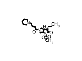 CCC[C@H]1C(=O)N(S(C)(=O)=O)C2=CN(C(=O)C=CCN3CCCCC3)C[C@@H]21